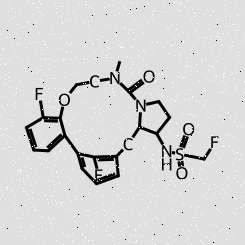 CN1CCOc2c(F)cccc2-c2cccc(c2F)CC2C(NS(=O)(=O)CF)CCN2C1=O